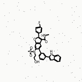 CNC(=O)c1c(-c2ccc(F)cc2)oc2cc(N(CCO)S(C)(=O)=O)c(-c3cccc(-c4cc5ccccc5[nH]4)c3)cc12